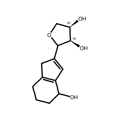 OC1CCCC2=C1C=C(C1OC[C@@H](O)[C@H]1O)C2